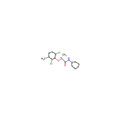 Cc1ccc(Cl)c(O[C@H](C)C(=O)Nc2ccccc2)c1Cl